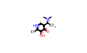 CCc1[nH]cc(C(N(C)C)C(F)(F)F)c(=O)c1O